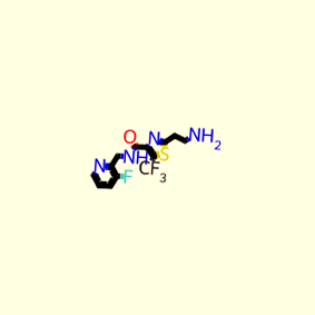 NCCc1nc(C(=O)NCc2ncccc2F)c(C(F)(F)F)s1